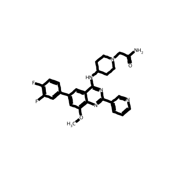 COc1cc(-c2ccc(F)c(F)c2)cc2c(NC3CCN(CC(N)=O)CC3)nc(-c3cccnc3)nc12